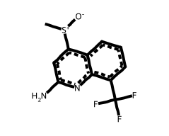 C[S+]([O-])c1cc(N)nc2c(C(F)(F)F)cccc12